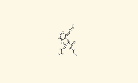 CCCOC(=O)C(=Cc1ccccc1OCCC)C(=O)OCCC